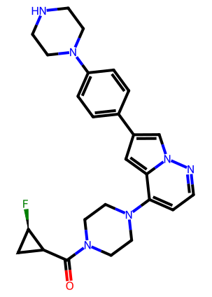 O=C(C1C[C@H]1F)N1CCN(c2ccnn3cc(-c4ccc(N5CCNCC5)cc4)cc23)CC1